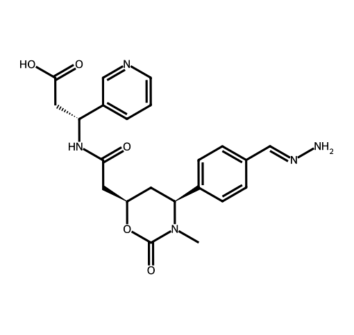 CN1C(=O)O[C@@H](CC(=O)N[C@H](CC(=O)O)c2cccnc2)C[C@H]1c1ccc(C=NN)cc1